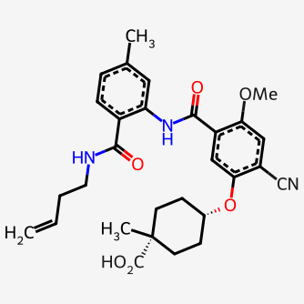 C=CCCNC(=O)c1ccc(C)cc1NC(=O)c1cc(O[C@H]2CC[C@@](C)(C(=O)O)CC2)c(C#N)cc1OC